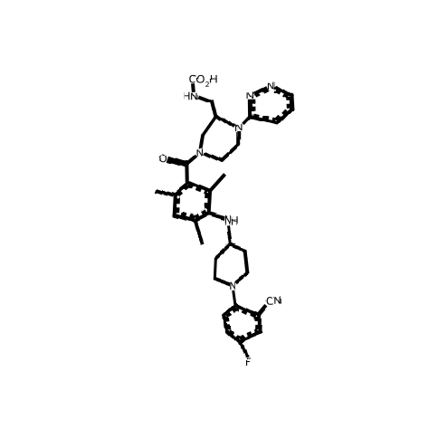 Cc1cc(C)c(C(=O)N2CCN(c3cccnn3)C(CNC(=O)O)C2)c(C)c1NC1CCN(c2ccc(F)cc2C#N)CC1